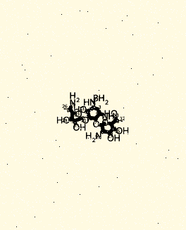 BNC1CC(N)C(OC2OC([C@@H](C)O)C(O)C(O)C2N)C(OC2OC([C@H](C)N)C(O)C2O)C1O